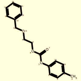 Cc1ccc(OC(=O)OCCOCc2ccccc2)cc1